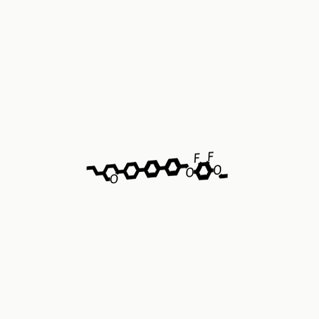 CCCC1CCC(C2CCC(c3ccc(-c4ccc(COc5ccc(OCC)c(F)c5F)cc4)cc3)CC2)OC1